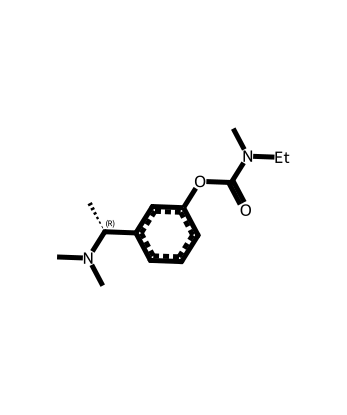 CCN(C)C(=O)Oc1cccc([C@@H](C)N(C)C)c1